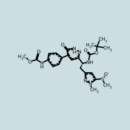 COC(=O)Nc1ccc(-c2cc([C@H](Cc3cc([S+](C)[O-])n(C)n3)NC(=O)OC(C)(C)C)n[nH]c2=O)cc1